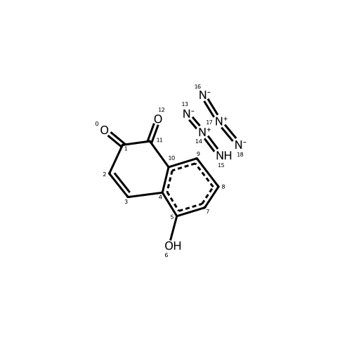 O=C1C=Cc2c(O)cccc2C1=O.[N-]=[N+]=N.[N-]=[N+]=[N-]